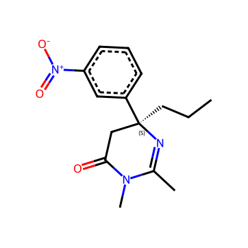 CCC[C@@]1(c2cccc([N+](=O)[O-])c2)CC(=O)N(C)C(C)=N1